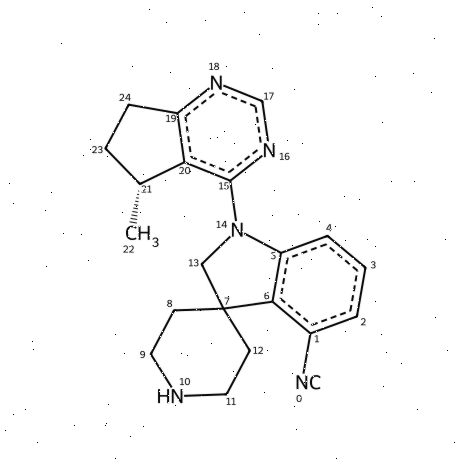 [C-]#[N+]c1cccc2c1C1(CCNCC1)CN2c1ncnc2c1[C@H](C)CC2